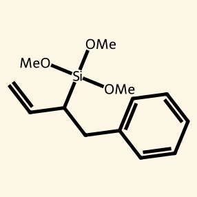 C=CC(Cc1ccccc1)[Si](OC)(OC)OC